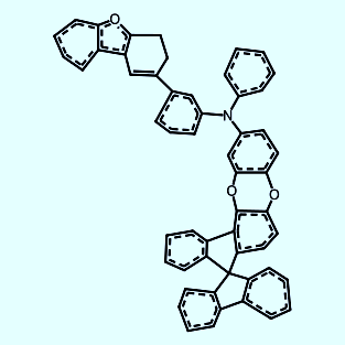 C1=C(c2cccc(N(c3ccccc3)c3ccc4c(c3)Oc3c(ccc5c3-c3ccccc3C53c5ccccc5-c5ccccc53)O4)c2)CCc2oc3ccccc3c21